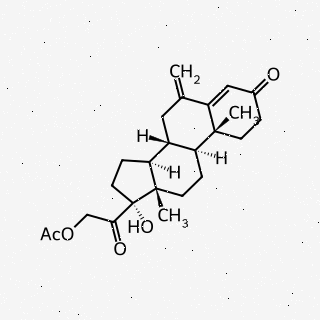 C=C1C[C@@H]2[C@H](CC[C@@]3(C)[C@H]2CC[C@]3(O)C(=O)COC(C)=O)[C@@]2(C)CCC(=O)C=C12